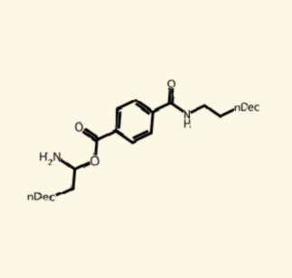 CCCCCCCCCCCCNC(=O)c1ccc(C(=O)OC(N)CCCCCCCCCCC)cc1